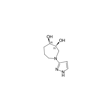 O[C@@H]1CCCN(c2cc[nH]n2)C[C@@H]1O